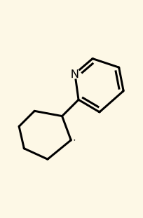 [CH]1CCCCC1c1ccccn1